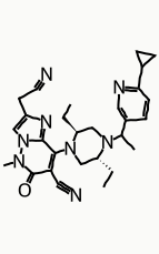 CC[C@H]1CN(C(C)c2ccc(C3CC3)nc2)[C@H](CC)CN1c1c(C#N)c(=O)n(C)n2cc(CC#N)nc12